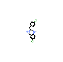 CN1CC(Cc2ccc(Cl)cc2)NCc2cc(Cl)ccc21